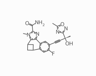 Cc1nc([C@](C)(O)C#Cc2cc3c(cc2F)C2CC(C2)c2c-3nc(C(N)=O)n2C)no1